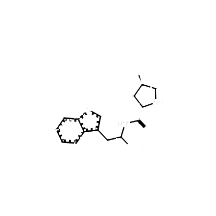 O=C(O)C(Cc1c[nH]c2ccccc12)NC(=O)[C@@H]1C[C@@H](O)CN1